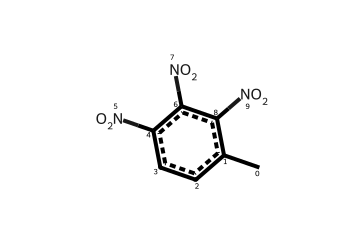 Cc1ccc([N+](=O)[O-])c([N+](=O)[O-])c1[N+](=O)[O-]